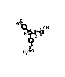 CS(=O)OCc1ccc(-c2[nH]c(-c3ccc([N+](=O)[O-])cc3)nc2C(=O)Nc2nccs2)cc1.Cl